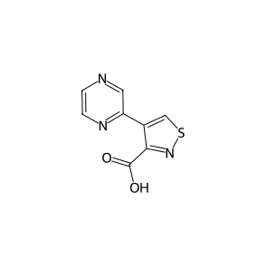 O=C(O)c1nscc1-c1cnccn1